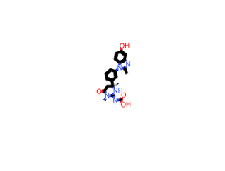 Cc1nc2cc(O)ccc2n1-c1cccc([C@]2(C)CC(=O)N(C)/C(=N/C(=O)O)N2)c1